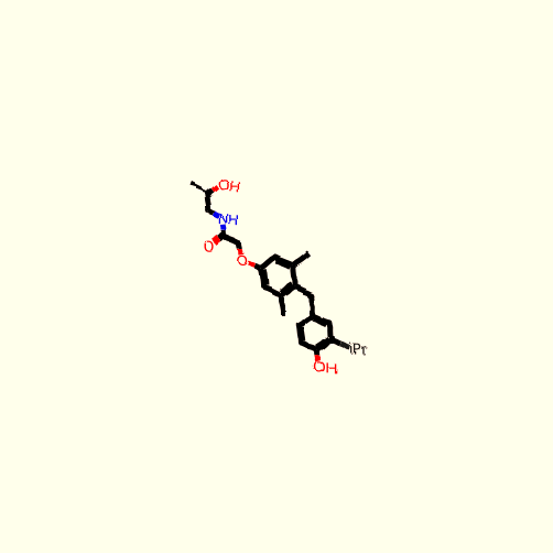 Cc1cc(OCC(=O)NC[C@@H](C)O)cc(C)c1Cc1ccc(O)c(C(C)C)c1